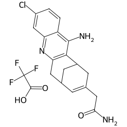 NC(=O)CC1=CC2Cc3nc4cc(Cl)ccc4c(N)c3C(C1)C2.O=C(O)C(F)(F)F